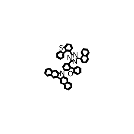 c1ccc2cc3c(cc2c1)c1cc2ccccc2cc1n3-c1ccc(-c2nc(-c3cccc4ccccc34)nc(-c3cccc4sc5ccccc5c34)n2)c2c1oc1ccccc12